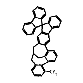 FC(F)(F)c1cccc2c1-c1cccc3c1CC(Cc1cc4c(cc1-3)-c1ccccc1C41c3ccccc3-c3ccccc31)C2